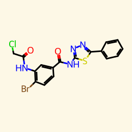 O=C(CCl)Nc1cc(C(=O)Nc2nnc(-c3ccccc3)s2)ccc1Br